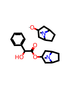 CN1C2CCC1CC(OC(=O)C(O)c1ccccc1)C2.CN1C2CCC1CC([O])C2